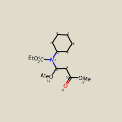 CCOC(=O)N(C1CCCCC1)C(CC(=O)OC)OC